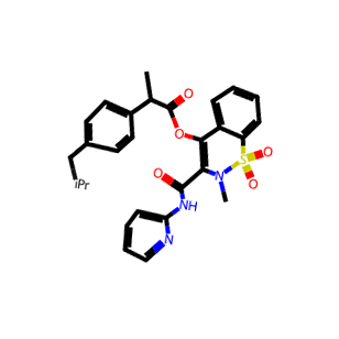 CC(C)Cc1ccc(C(C)C(=O)OC2=C(C(=O)Nc3ccccn3)N(C)S(=O)(=O)c3ccccc32)cc1